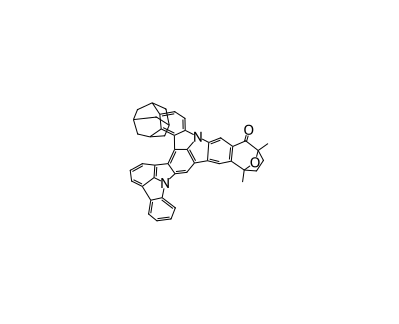 CC12CCC(C)(O1)c1cc3c4cc5c(c6cccc7c8ccccc8n5c76)c5c6c7c(ccc6n(c3cc1C2=O)c45)C1CC2CC(C1)CC7C2